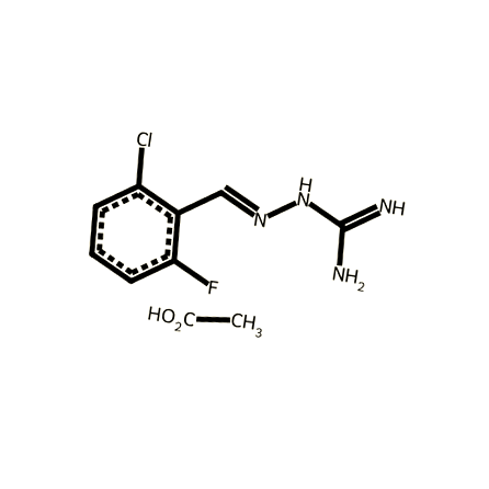 CC(=O)O.N=C(N)NN=Cc1c(F)cccc1Cl